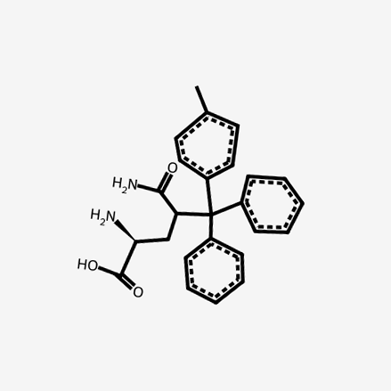 Cc1ccc(C(c2ccccc2)(c2ccccc2)C(C[C@H](N)C(=O)O)C(N)=O)cc1